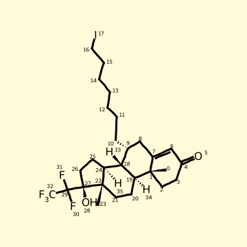 C[C@]12CCC(=O)C=C1C[C@@H](CCCCCCCI)[C@@H]1[C@@H]2CC[C@@]2(C)[C@H]1CC[C@@]2(O)C(F)(F)C(F)(F)F